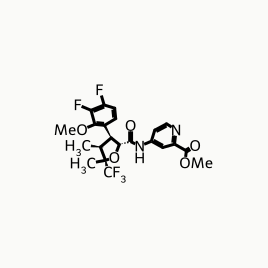 COC(=O)c1cc(NC(=O)[C@@H]2O[C@@](C)(C(F)(F)F)[C@@H](C)[C@H]2c2ccc(F)c(F)c2OC)ccn1